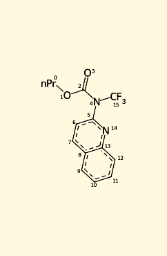 CCCOC(=O)N(c1ccc2ccccc2n1)C(F)(F)F